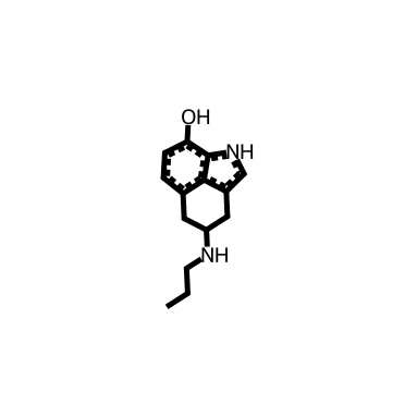 CCCNC1Cc2ccc(O)c3[nH]cc(c23)C1